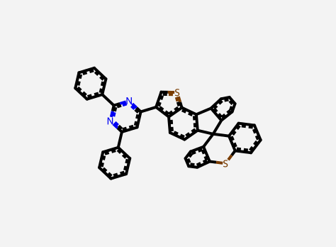 c1ccc(-c2cc(-c3csc4c5c(ccc34)C3(c4ccccc4Sc4ccccc43)c3ccccc3-5)nc(-c3ccccc3)n2)cc1